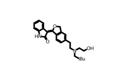 CCC(C)CN(CCO)CCc1ccc2c(c1)CO/C2=C1/C(=O)Nc2ccccc21